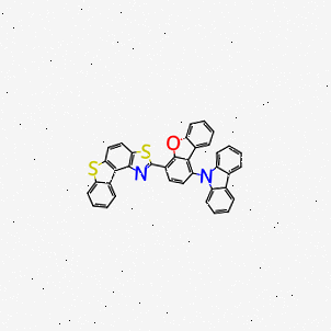 c1ccc2c(c1)oc1c(-c3nc4c(ccc5sc6ccccc6c54)s3)ccc(-n3c4ccccc4c4ccccc43)c12